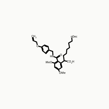 C=CCOc1ccc(CNC(=O)c2c(OC)cc(OC)cc2C(CCCCCCCCCCCCCCCC)C(=O)O)cc1